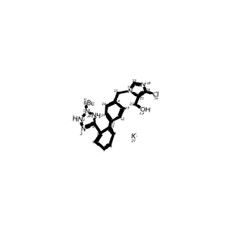 CCCCN1NN=C(c2ccccc2-c2ccc(Cn3cnc(Cl)c3CO)cc2)N1.[K]